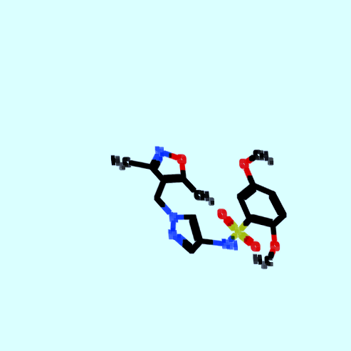 COc1ccc(OC)c(S(=O)(=O)Nc2cnn(Cc3c(C)noc3C)c2)c1